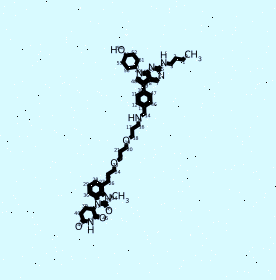 CCCCNc1ncc2c(-c3ccc(CNCCCOCCCOCCCc4cccc5c4n(C)c(=O)n5C4CCC(=O)NC4=O)cc3)cn([C@H]3CC[C@H](O)CC3)c2n1